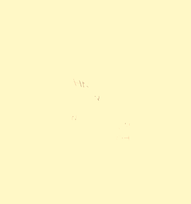 O=C(O)c1ccc2c(c1)nc(Nc1ccccc1)c1cccnc12